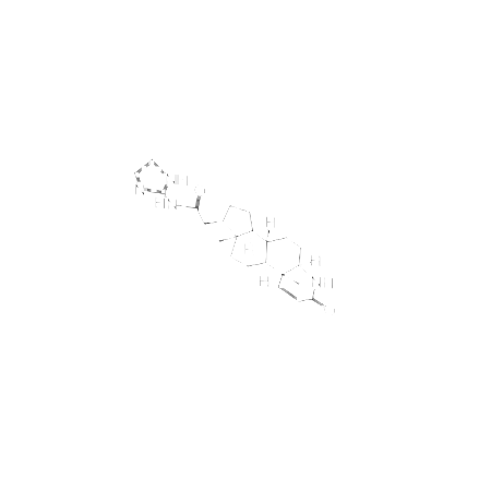 C[C@]12C=CC(=O)N[C@@H]1CC[C@@H]1[C@@H]2CC[C@]2(C)[C@@H](CC(=O)Nc3ncc[nH]3)CC[C@@H]12